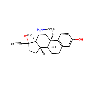 C#C[C@]1(O)CC[C@H]2[C@@H]3CCc4cc(O)ccc4[C@H]3CC[C@@]21C.NS(=O)(=O)O